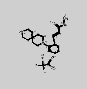 O=C(/C=C/c1ccccc1N1CCC2(CCNCC2)CC1)NO.O=C(O)C(F)(F)F